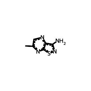 Cc1cnc2c(N)nsc2n1